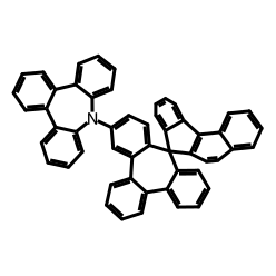 c1ccc2c(c1)-c1ccccc1N(c1ccc3c(c1)-c1ccccc1-c1ccccc1C31c3ccccc3-c3c1ccc1ccccc31)c1ccccc1-2